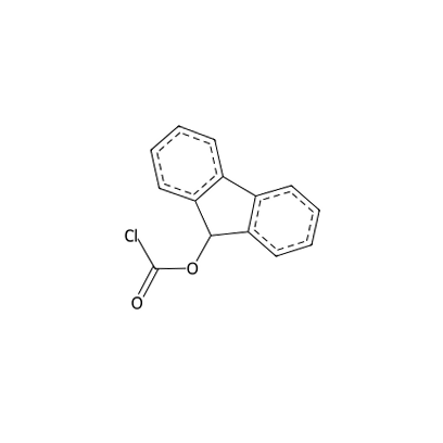 O=C(Cl)OC1c2ccccc2-c2ccccc21